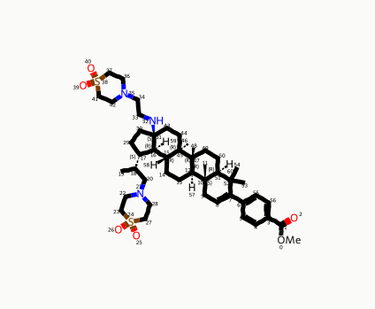 COC(=O)c1ccc(C2=CC[C@]3(C)[C@H]4CC[C@@H]5[C@H]6[C@H](C(C)CN7CCS(=O)(=O)CC7)CC[C@]6(NCCN6CCS(=O)(=O)CC6)CC[C@@]5(C)[C@]4(C)CC[C@H]3C2(C)C)cc1